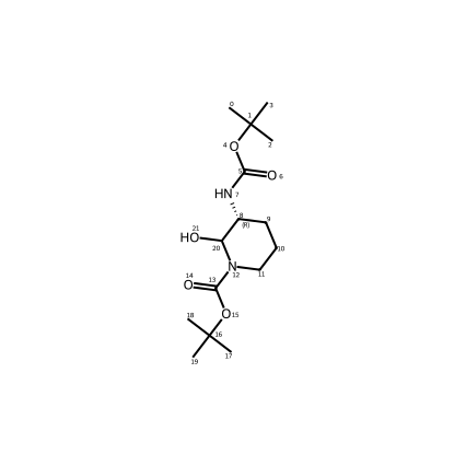 CC(C)(C)OC(=O)N[C@@H]1CCCN(C(=O)OC(C)(C)C)C1O